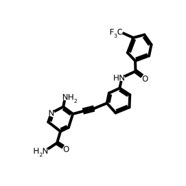 NC(=O)c1cnc(N)c(C#Cc2cccc(NC(=O)c3cccc(C(F)(F)F)c3)c2)c1